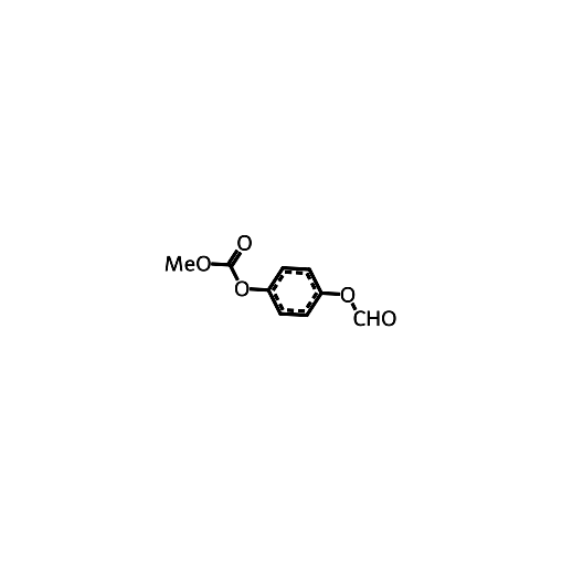 COC(=O)Oc1ccc(OC=O)cc1